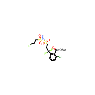 COC(=O)c1c(Cl)cccc1C(F)(F)CCS(=O)(=O)NS(=O)(=O)CCCF